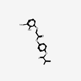 C=C(C)C(=O)Oc1ccc(OC(=O)COc2cccc(O)c2O)cc1